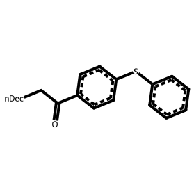 CCCCCCCCCCCC(=O)c1ccc(Sc2ccccc2)cc1